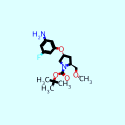 COC[C@@H]1C[C@@H](Oc2cc(N)cc(F)c2)CN1C(=O)OC(C)(C)C